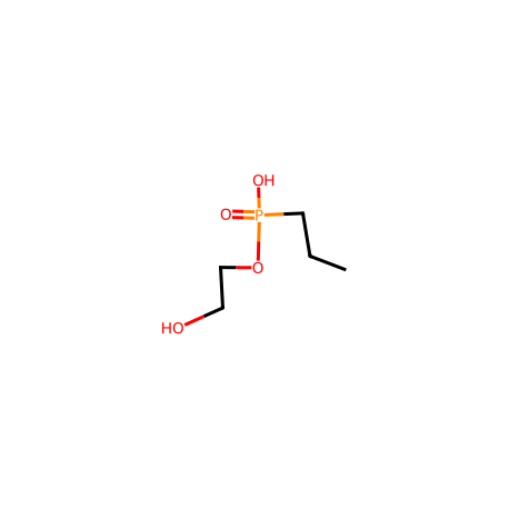 CCCP(=O)(O)OCCO